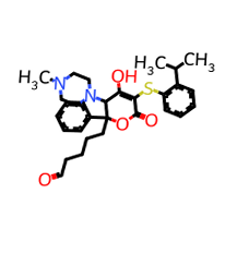 CC(C)c1ccccc1SC1=C(O)C(N2CCN(C)CC2)C(CCCCC=O)(c2ccccc2)OC1=O